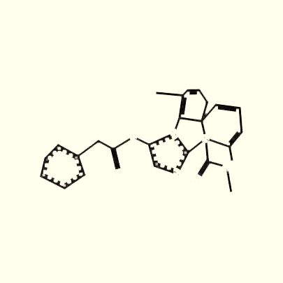 COC(=O)[N+]12C(C)=CC=CC13CC=CC(C)=C3n1c(SC(=O)Cc3ccccc3)cnc12